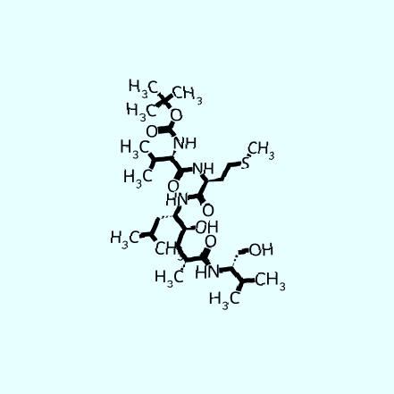 CSCC[C@H](NC(=O)[C@@H](NC(=O)OC(C)(C)C)C(C)C)C(=O)N[C@@H](CC(C)C)[C@@H](O)C[C@@H](C)C(=O)N[C@H](CO)C(C)C